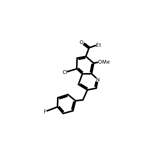 CCC(=O)c1cc(Cl)c2cc(Cc3ccc(F)cc3)cnc2c1OC